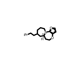 CC(C)CCC1CCCN2c3occc3OCC[C@H]2C1